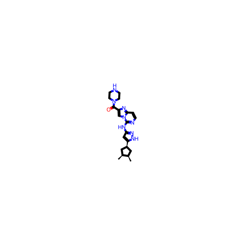 C[C@@H]1C[C@H](c2cc(Nc3nccc4nc(C(=O)N5CCNCC5)cn34)n[nH]2)C[C@@H]1C